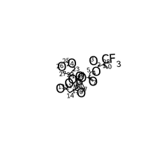 C=C(C(=O)OCC(=O)OC1C2OC(=O)C3C2OC1C3C(=O)OC1COCOC1)C(F)(F)F